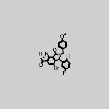 COc1ccc(CN2C(=O)c3c(N)c(C(C)=O)cc(Br)c3C2c2cc(F)ccc2Cl)cc1